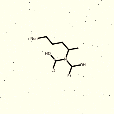 CCCCCCCCCCCCC(C)N(C(O)CC)C(O)CC